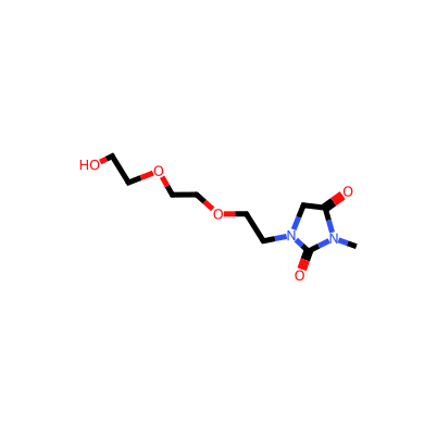 CN1C(=O)CN(CCOCCOCCO)C1=O